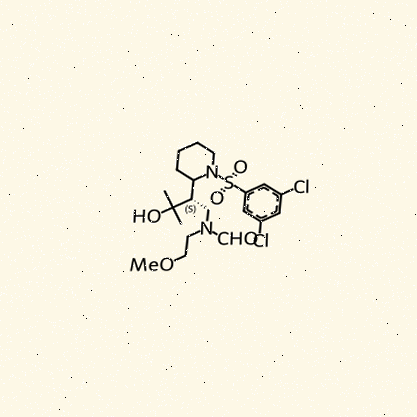 COCCN(C=O)C[C@@H](C1CCCCN1S(=O)(=O)c1cc(Cl)cc(Cl)c1)C(C)(C)O